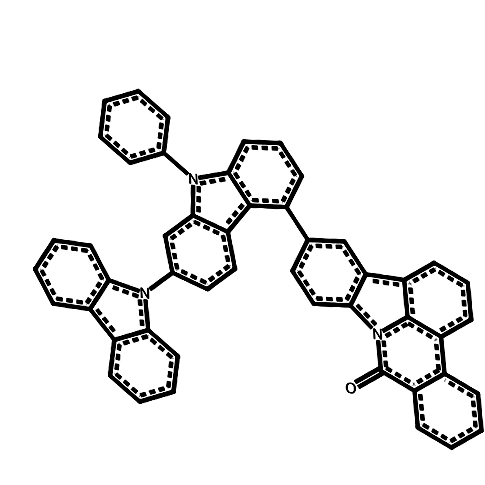 O=c1c2ccccc2c2cccc3c4cc(-c5cccc6c5c5ccc(-n7c8ccccc8c8ccccc87)cc5n6-c5ccccc5)ccc4n1c23